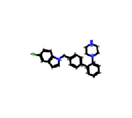 Fc1ccc2c(ccn2Cc2ccc(-c3ccccc3N3CCNCC3)cc2)c1